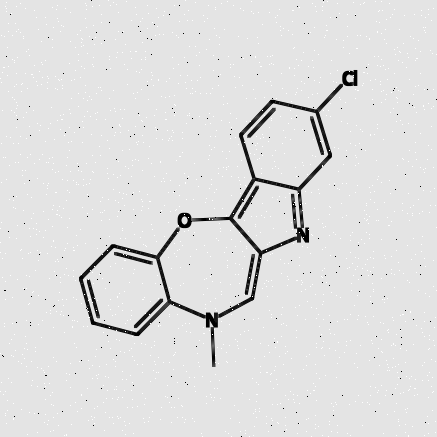 CN1C=C2N=c3cc(Cl)ccc3=C2Oc2ccccc21